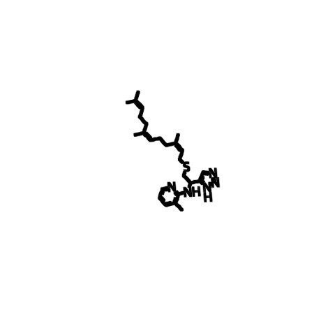 CC(C)=CCCC(C)=CCCC(C)=CCSCC(Nc1ncccc1C)c1cnn[nH]1